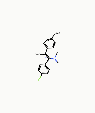 CSc1ccc(/C(C=O)=C(/c2ccc(F)cc2)N(C)C)cc1